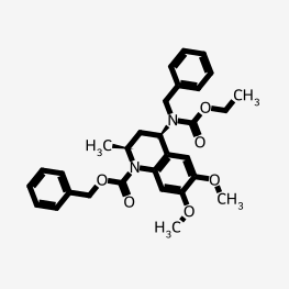 CCOC(=O)N(Cc1ccccc1)[C@@H]1C[C@H](C)N(C(=O)OCc2ccccc2)c2cc(OC)c(OC)cc21